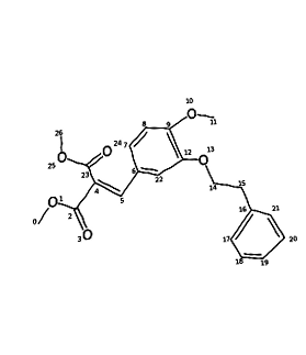 COC(=O)C(=Cc1ccc(OC)c(OCCc2ccccc2)c1)C(=O)OC